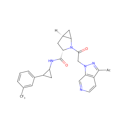 CC(=O)c1nn(CC(=O)N2C3C[C@@H]3C[C@H]2C(=O)NC2CC2c2cccc(C(F)(F)F)c2)c2cnccc12